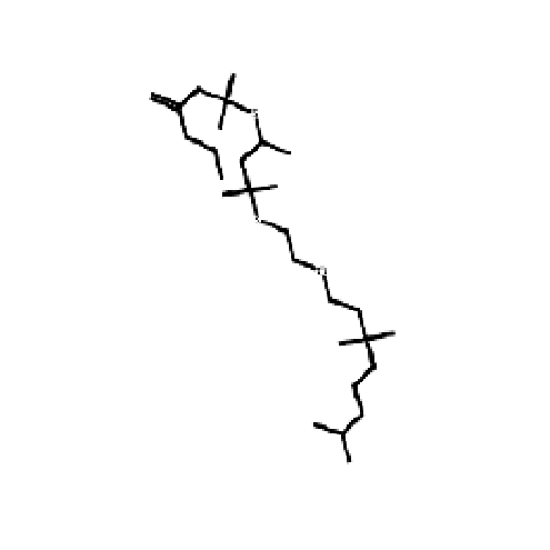 C=C(CCC)CC(C)(C)SC(C)CC(C)(C)SCCOCCC(C)(C)CCCC(C)C